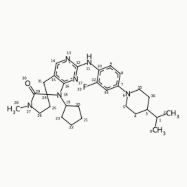 CC(C)C1CCN(c2ccc(Nc3ncc4c(n3)N(C3CCCC3)C3(CCN(C)C3=O)C4)c(F)c2)CC1